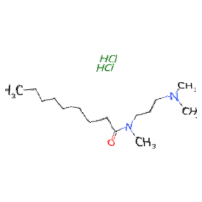 CCCCCCCCC(=O)N(C)CCCN(C)C.Cl.Cl